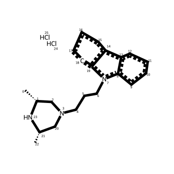 C[C@@H]1CN(CCCn2c3ccccc3c3ccccc32)C[C@H](C)N1.Cl.Cl